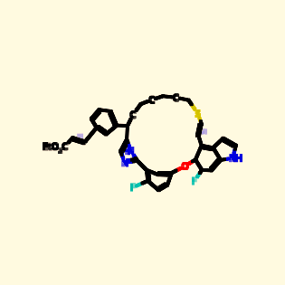 CCOC(=O)/C=C/c1cccc(C2CCCCCCS/C=C/C3=c4cc[nH]c4=CC(F)C3Oc3ccc(F)c(c3)-c3ncc2[nH]3)c1